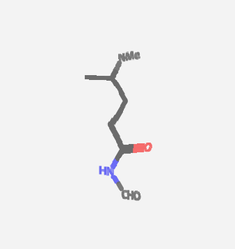 CNC(C)CCC(=O)NC=O